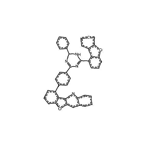 c1ccc(C2N=C(c3ccc(-c4cccc5oc6cc7ccccc7nc6c45)cc3)N=C(c3cccc4oc5ccccc5c34)N2)cc1